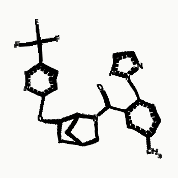 Cc1ccc(-n2nccn2)c(C(=O)N2CC3CC(Oc4ccc(C(F)(F)F)cn4)C2C3)c1